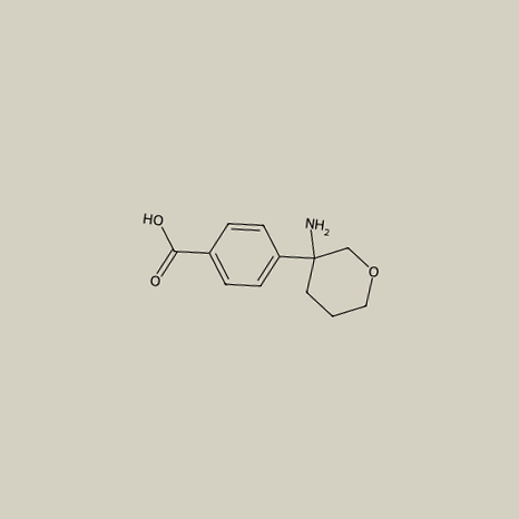 NC1(c2ccc(C(=O)O)cc2)CCCOC1